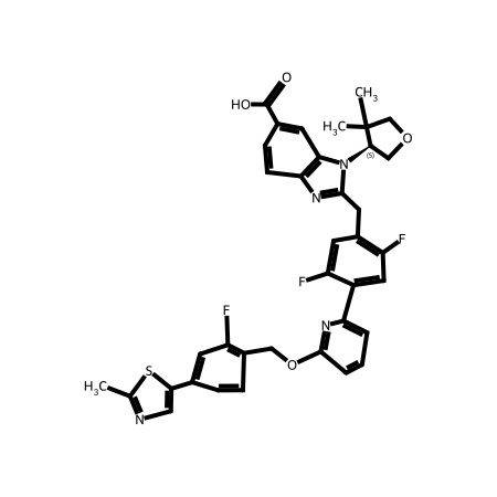 Cc1ncc(-c2ccc(COc3cccc(-c4cc(F)c(Cc5nc6ccc(C(=O)O)cc6n5[C@@H]5COCC5(C)C)cc4F)n3)c(F)c2)s1